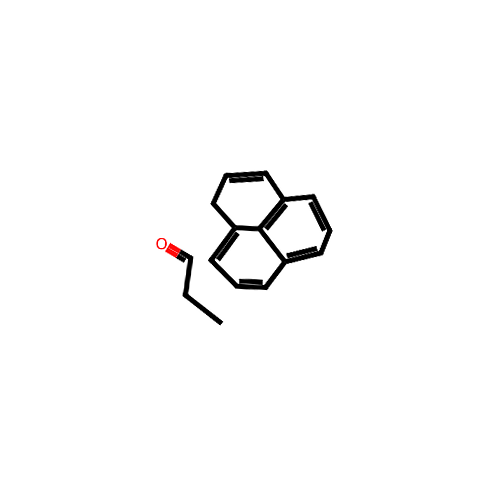 C1=Cc2cccc3cccc(c23)C1.CCC=O